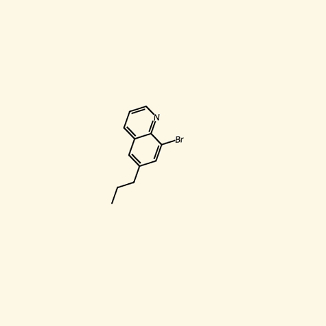 CCCc1cc(Br)c2ncccc2c1